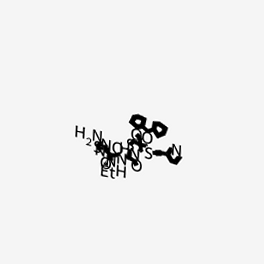 CCON=C(C(=O)NC1C(=O)N2CC(CSC#Cc3cccnc3)(C(=O)OC(c3ccccc3)c3ccccc3)CS[C@H]12)c1nsc(N)n1